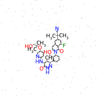 Cc1c(-c2cccc(-n3ccc4cc(C(C)(C)C#N)cc(F)c4c3=O)c2CO)n[nH]c(=O)c1Nc1ccc(OC(C)(C)CO)cn1